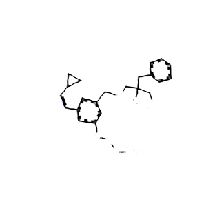 COOSN(C)c1cc(/C=C\C2CC2)cc(COCC(N)(CO)Cc2ccccc2)c1